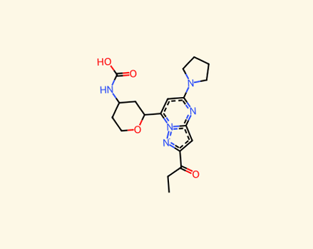 CCC(=O)c1cc2nc(N3CCCC3)cc(C3CC(NC(=O)O)CCO3)n2n1